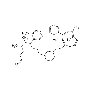 C=CCCC(C)C(C)C(CCCC1=CCCC(CC/C2=C/C(C3C=CC=CC3O)=C\C(C)=C(CC)\C=N/C2)C1)c1ccccc1C